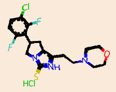 Cl.Fc1ccc(Cl)c(F)c1C1Cc2c(CCN3CCOCC3)[nH]c(=S)n2C1